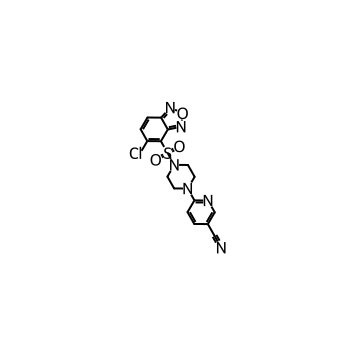 N#Cc1ccc(N2CCN(S(=O)(=O)c3c(Cl)ccc4nonc34)CC2)nc1